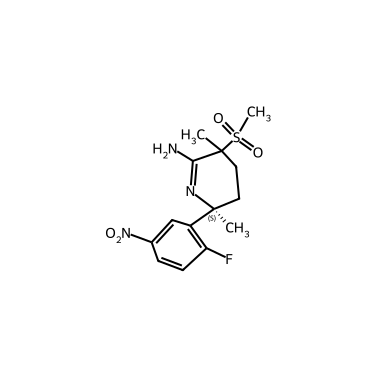 CC1(S(C)(=O)=O)CC[C@@](C)(c2cc([N+](=O)[O-])ccc2F)N=C1N